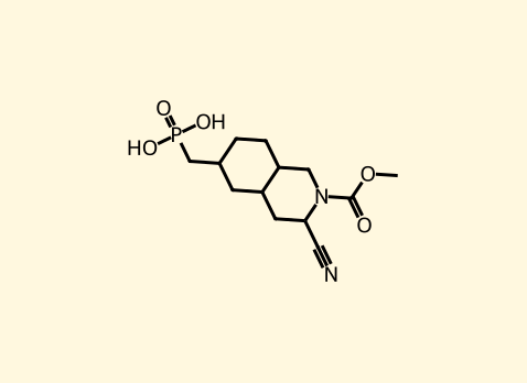 COC(=O)N1CC2CCC(CP(=O)(O)O)CC2CC1C#N